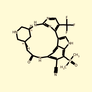 CP(C)(=O)c1c(C#N)c2cc3c(c[nH]c13)-c1nc(ncc1C(F)(F)F)N[C@@H]1CNC[C@@H](CC(=O)N2)C1